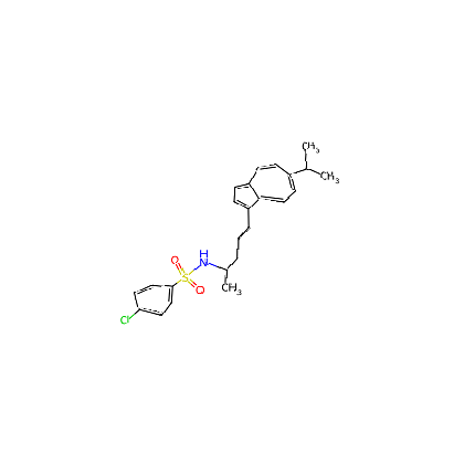 CC(CCCc1ccc2ccc(C(C)C)ccc1-2)NS(=O)(=O)c1ccc(Cl)cc1